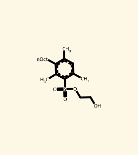 CCCCCCCCc1c(C)cc(C)c(S(=O)(=O)OCCO)c1C